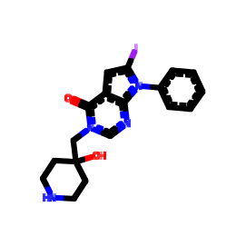 O=c1c2cc(I)n(-c3ccccc3)c2ncn1CC1(O)CCNCC1